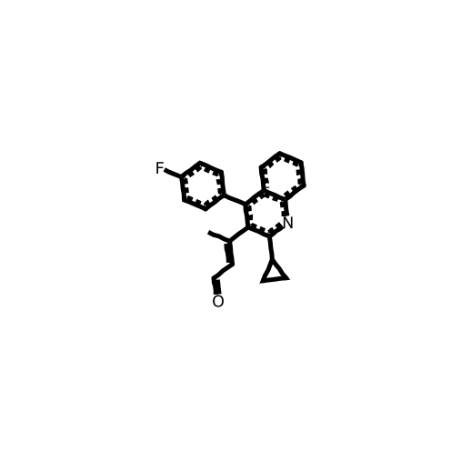 C/C(=C\C=O)c1c(C2CC2)nc2ccccc2c1-c1ccc(F)cc1